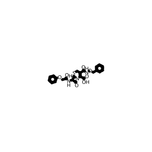 O=C(COc1ccccc1)NC1C(=O)N2C(C(=O)O)=C(C(=O)NOCc3ccccc3)CS[C@H]12